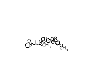 CCC(CCCCN1CCCCCC1=O)NC(C)Cc1ccc(OS(=O)(=O)c2ccc(OC)cc2)cc1